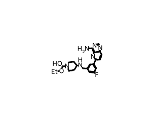 CCOC(O)N1CCC(NCc2cc(F)cc(-c3ccc4ncnc(N)c4n3)c2)CC1